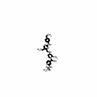 CCc1ccc(Nc2ncc(CC)c(CN[C@H]3CCN(C(O)c4ccnc(NS(C)(=O)=O)c4)[C@H](C)C3)n2)cc1